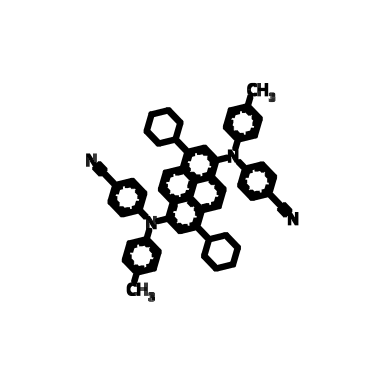 Cc1ccc(N(c2ccc(C#N)cc2)c2cc(C3CCCCC3)c3ccc4c(N(c5ccc(C)cc5)c5ccc(C#N)cc5)cc(C5CCCCC5)c5ccc2c3c54)cc1